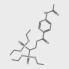 CCOP(=O)(OCC)C(CCC(=O)c1ccc(NC(C)=O)cc1)P(=O)(OCC)OCC